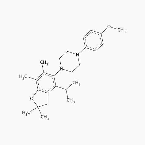 COc1ccc(N2CCN(c3c(C)c(C)c4c(c3C(C)C)CC(C)(C)O4)CC2)cc1